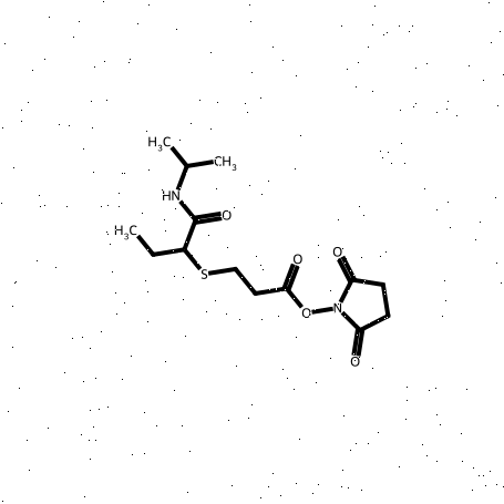 CCC(SCCC(=O)ON1C(=O)CCC1=O)C(=O)NC(C)C